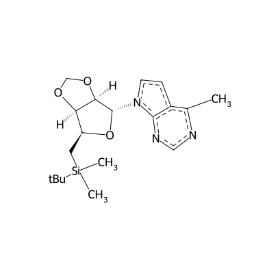 Cc1ncnc2c1ccn2[C@@H]1O[C@@H](C[Si](C)(C)C(C)(C)C)[C@H]2OCO[C@H]21